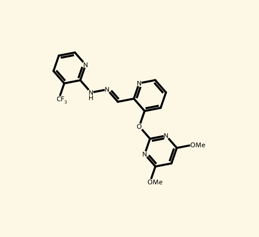 COc1cc(OC)nc(Oc2cccnc2C=NNc2ncccc2C(F)(F)F)n1